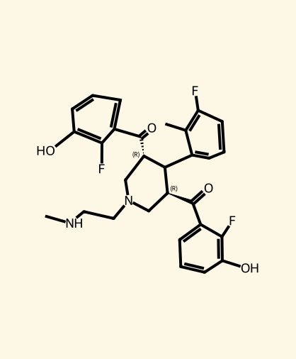 CNCCN1C[C@H](C(=O)c2cccc(O)c2F)C(c2cccc(F)c2C)[C@@H](C(=O)c2cccc(O)c2F)C1